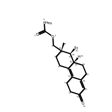 CCCCCCC(=O)OC[C@@]1(C)CCC2=C3CCC(=O)C=C3CC[C@H]2[C@@H]1CC